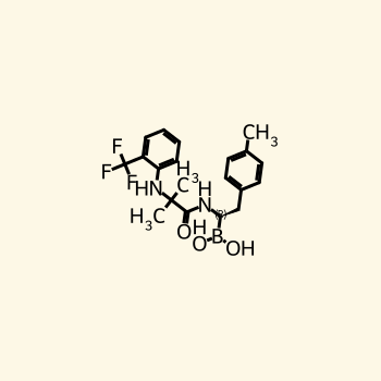 Cc1ccc(C[C@H](NC(=O)C(C)(C)Nc2ccccc2C(F)(F)F)B(O)O)cc1